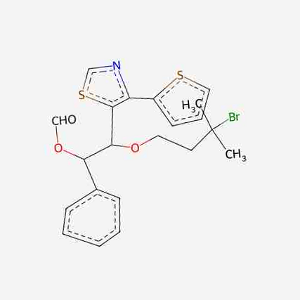 CC(C)(Br)CCOC(c1scnc1-c1cccs1)C(OC=O)c1ccccc1